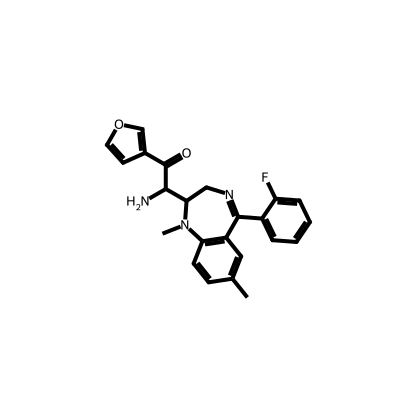 Cc1ccc2c(c1)C(c1ccccc1F)=NCC(C(N)C(=O)c1ccoc1)N2C